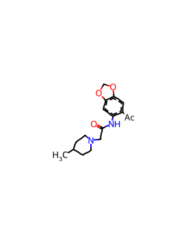 CC(=O)c1cc2c(cc1NC(=O)CN1CCC(C)CC1)OCO2